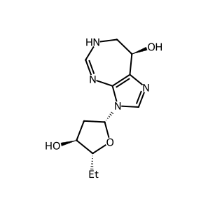 CC[C@H]1O[C@@H](n2cnc3c2N=CNC[C@H]3O)C[C@@H]1O